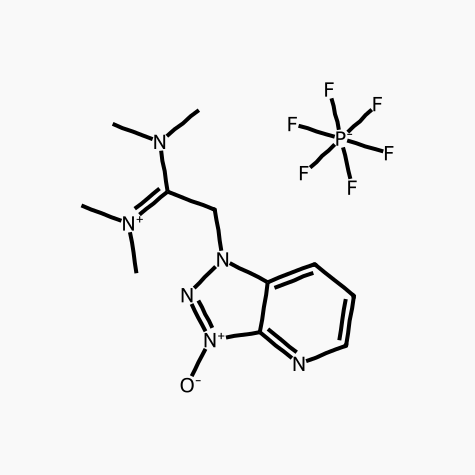 CN(C)C(Cn1n[n+]([O-])c2ncccc21)=[N+](C)C.F[P-](F)(F)(F)(F)F